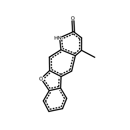 Cc1cc(=O)[nH]c2cc3oc4ccccc4c3cc12